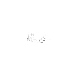 O=C(CSc1ccc2cc(O)c(O)cc2c1)Nc1nnn[nH]1